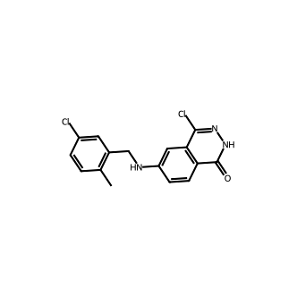 Cc1ccc(Cl)cc1CNc1ccc2c(=O)[nH]nc(Cl)c2c1